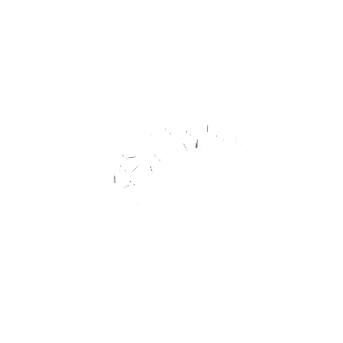 Cc1cc(C(F)F)n2ncc(C(=O)N3CCC4(CC3)c3ccc(C(=O)C(C)(C)C)n3CCN4C)c2n1